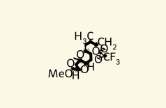 C=C(OS(=O)(=O)C(F)(F)F)C(C)C[C@H]1CC[C@@H]2O[C@@H]3C[C@]2(CO[C@H]3OC)O1